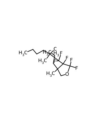 CCCCC(C)(C)C(F)(F)C1(F)C(C)(CCC)COC1(F)F